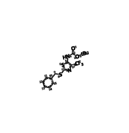 CC(C)(C)OC(=O)Nc1sc(SCc2ccccc2)nc1C(F)(F)F